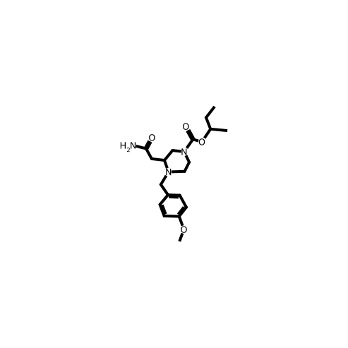 CCC(C)OC(=O)N1CCN(Cc2ccc(OC)cc2)C(CC(N)=O)C1